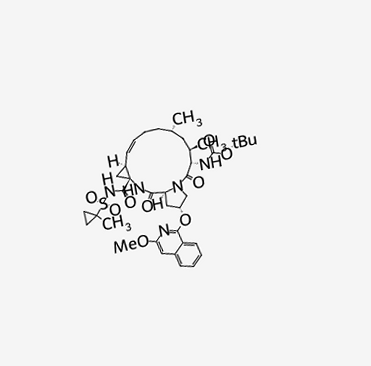 COc1cc2ccccc2c(O[C@@H]2C[C@H]3C(=O)N[C@]4(C(=O)NS(=O)(=O)C5(C)CC5)C[C@H]4/C=C\CC[C@H](C)C[C@@H](C)[C@H](NC(=O)OC(C)(C)C)C(=O)N3C2)n1